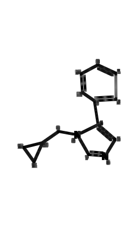 c1ccc(-c2cncn2CC2CC2)cc1